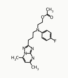 CC(=O)OCCN(CCCc1nc2nc(C)cc(C)n2n1)c1ccc(F)cc1